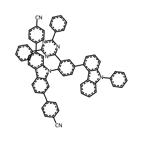 N#Cc1ccc(-c2ccc3c4ccc(-c5ccc(C#N)cc5)cc4n(-c4ccc(-c5cccc6c5c5ccccc5n6-c5ccccc5)cc4-c4nc(-c5ccccc5)nc(-c5ccccc5)n4)c3c2)cc1